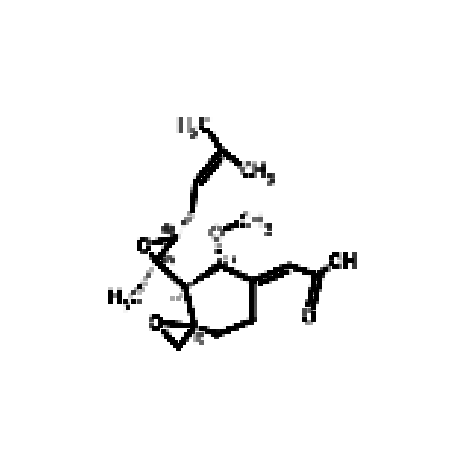 CO[C@@H]1C(=CC(=O)O)CC[C@]2(CO2)[C@H]1[C@@]1(C)O[C@@H]1CC=C(C)C